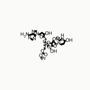 CO[C@H]1C(O[P@@](=O)(OC[C@H]2O[C@@H](n3cnc4c(N)ncnc43)C[C@H]2O)SCOC(=O)OC(C)C)[C@@H](CO)O[C@H]1N1C=CC(O)NC1=O